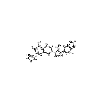 Cc1cc(-c2[nH]nc(-c3ccc(C(C)N(C)C(=O)[C@@H]4CCCN4)cc3)c2C(C)C)cn2ncnc12